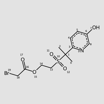 CC(C)(c1ccc(O)cn1)S(=O)(=O)CCOC(=O)CBr